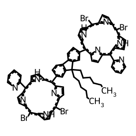 CCCCCCC1(CCCCCC)c2cc(-c3c4nc(c(-c5ccccn5)c5ccc([nH]5)c(Br)c5nc(c(Br)c6ccc3[nH]6)C=C5)C=C4)ccc2-c2ccc(-c3c4nc(c(Br)c5ccc([nH]5)c(Br)c5nc(c(-c6ccccn6)c6ccc3[nH]6)C=C5)C=C4)cc21